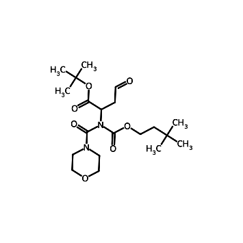 CC(C)(C)CCOC(=O)N(C(=O)N1CCOCC1)C(CC=O)C(=O)OC(C)(C)C